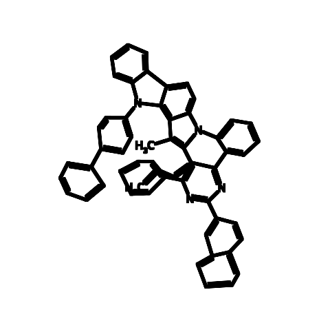 C=C/C=C\c1c(C)c2c(ccc3c4ccccc4n(-c4ccc(-c5ccccc5)cc4)c32)n1-c1ccccc1-c1cc(-c2ccccc2)nc(-c2ccc3ccccc3c2)n1